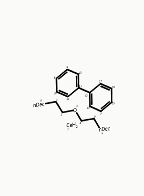 CCCCCCCCCCCCOCCCCCCCCCCCC.[CaH2].c1ccc(-c2ccccc2)cc1